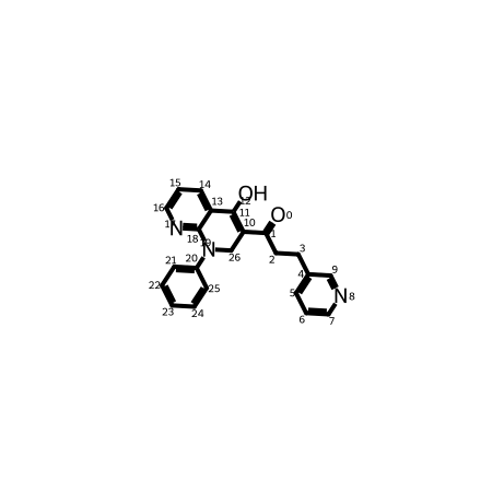 O=C(CCc1cccnc1)C1=C(O)c2cccnc2N(c2ccccc2)C1